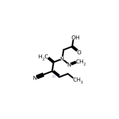 C=NN(CC(=O)O)C(=C)/C(C#N)=C\CC